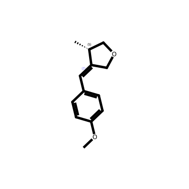 COc1ccc(/C=C2\COC[C@H]2C)cc1